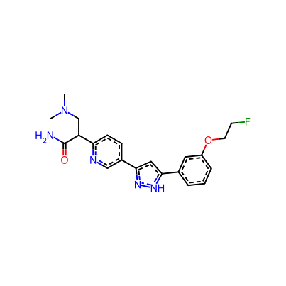 CN(C)CC(C(N)=O)c1ccc(-c2cc(-c3cccc(OCCF)c3)[nH]n2)cn1